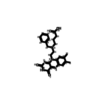 Cc1cc2nc3c(=O)[nH]c(=O)nc-3n(CCN(CCCC(=O)O)Cc3ccccc3)c2cc1C